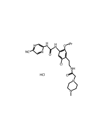 CC(C)Oc1cc(CCNC(=O)CN2CCN(C)CC2)c(Cl)cc1NC(=O)Nc1cnc(C#N)cn1.Cl